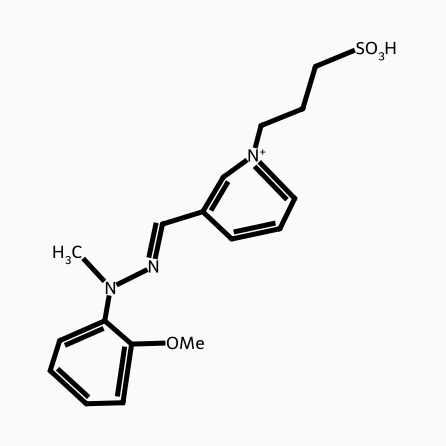 COc1ccccc1N(C)N=Cc1ccc[n+](CCCS(=O)(=O)O)c1